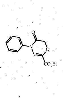 CCOC(=O)C1=NN(c2ccccc2)C(=O)CO1